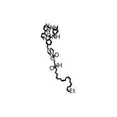 CC/C=C\C/C=C\C/C=C\C/C=C\C/C=C\CCCC(=O)NCCOC(=O)N1CCN(Cc2ccc(C(=O)Nc3ccc(C)c(Nc4nccc(-c5cccnc5)n4)c3)cc2)CC1